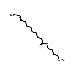 CCCCCCCC/C=C/CCCCCCCC(=O)OCCCCCCCCCCCCCC